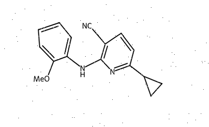 COc1ccccc1Nc1nc(C2CC2)ccc1C#N